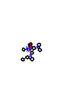 c1ccc(-c2ccc3c(c2)c2ccccc2n3-c2ccc(-c3cc(-n4c5ccccc5c5ccccc54)cc4c3oc3ccccc34)c(-c3nc(-c4ccccc4)nc(-c4ccccc4)n3)c2)cc1